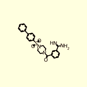 N=C(N)c1cccc(C(=O)N2CCN(S(=O)(=O)c3ccc(-c4ccccc4)cc3)CC2)c1